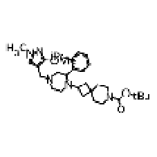 COc1nn(C)cc1CN1CCN(C2CC3(CCN(C(=O)OC(C)(C)C)CC3)C2)C(c2ccccc2C(C)C)C1